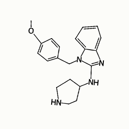 COc1ccc(Cn2c(NC3CCNCC3)nc3ccccc32)cc1